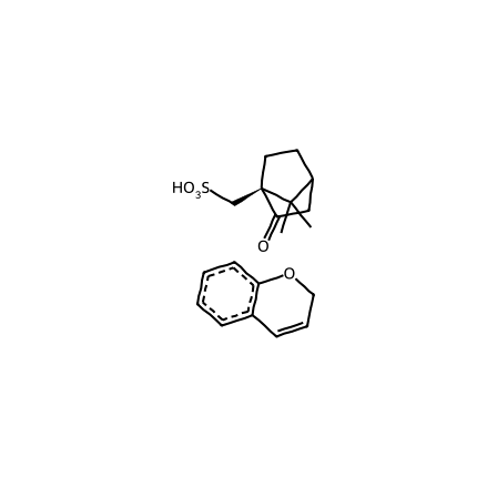 C1=Cc2ccccc2OC1.CC1(C)C2CC[C@@]1(CS(=O)(=O)O)C(=O)C2